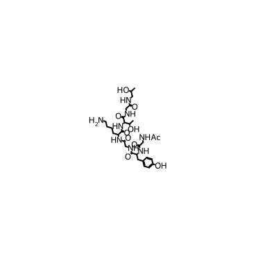 CC(=O)NCC(=O)NC(Cc1ccc(O)cc1)C(=O)NCC(=O)NC(CCCCN)C(=O)NC(C(=O)NCC(=O)NCC(C)O)C(C)O